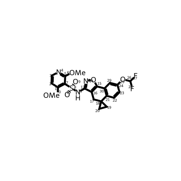 COc1ccnc(OC)c1S(=O)(=O)Nc1noc2c1CC1(CC1)c1ccc(OC(F)F)cc1-2